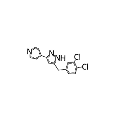 Clc1ccc(Cc2cc(-c3ccncc3)n[nH]2)cc1Cl